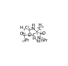 CCCNC(=O)C(C)(C)NC(C)OC(=O)C(C)C